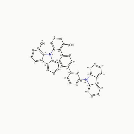 N#Cc1cccc(-n2c3ccccc3c3cccc(C#N)c32)c1-c1ccc(-c2cccc(-n3c4ccccc4c4ccccc43)c2)cc1